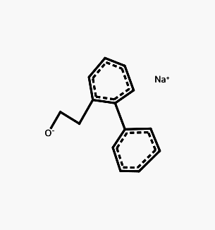 [Na+].[O-]CCc1ccccc1-c1ccccc1